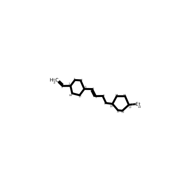 C=CC1CCC(C=CCCC2CCC(CC)CC2)CC1